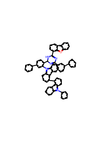 c1ccc(-c2cccc(C3=NC(c4ccc(-c5ccccc5)cc4-n4c5ccccc5c5c(-c6cccc7c6c6ccccc6n7-c6ccccc6)cccc54)NC(c4cccc5c4oc4ccccc45)=N3)c2)cc1